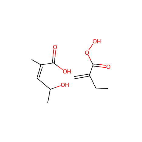 C=C(CC)C(=O)OO.CC(=CC(C)O)C(=O)O